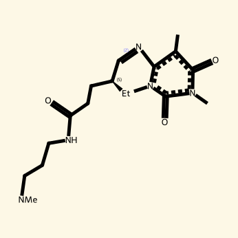 CC[C@H](/C=N\c1c(C)c(=O)n(C)c(=O)n1C)CCC(=O)NCCCNC